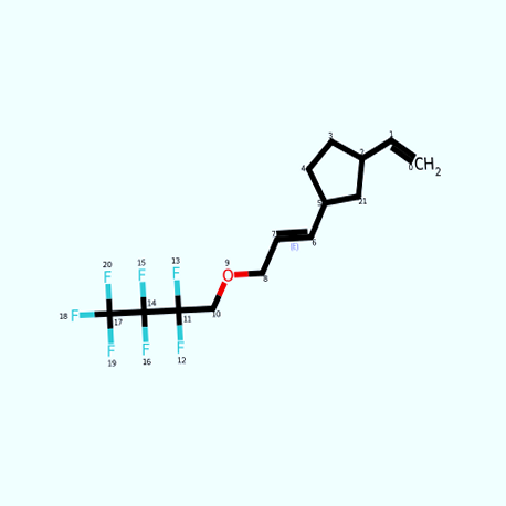 C=CC1CCC(/C=C/COCC(F)(F)C(F)(F)C(F)(F)F)C1